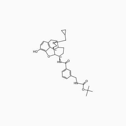 CC(C)(C)OC(=O)NCc1cccc(C(=O)N[C@@H]2CCC3C4Cc5ccc(O)c6c5[C@@]3(CCN4CC3CC3)C2O6)c1